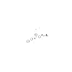 Cc1cc(Cl)ccc1-c1ccc(NC(=O)[C@H](Cc2ccc(C(=O)NCCS(=O)(=O)O)cc2)c2ccc([C@H]3CC[C@H](C)CC3)cc2)cc1